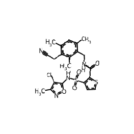 Cc1cc(C)c(CNC(=O)c2sccc2S(=O)(=O)Nc2onc(C)c2Cl)c(C)c1CC#N